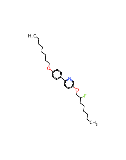 CCCCCCCCOc1ccc(-c2ccc(OC[C@@H](F)CCCCCC)cn2)cc1